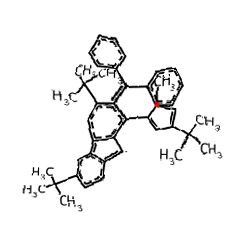 CC1C=C(C(C)(C)C)C=C1c1c2c(cc(C(C)(C)C)c1=C(c1ccccc1)c1ccccc1)=c1cc(C(C)(C)C)ccc1=[C]2